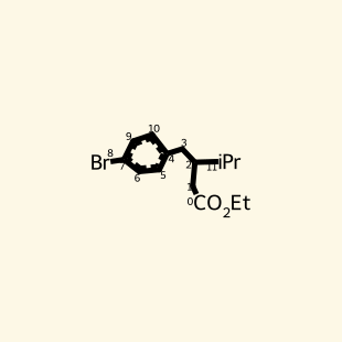 CCOC(=O)CC(Cc1ccc(Br)cc1)C(C)C